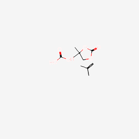 C=C(C)C.CC1(C)COC(=O)O1.O=C(O)O